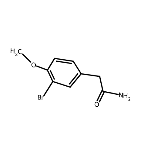 COc1ccc(CC(N)=O)cc1Br